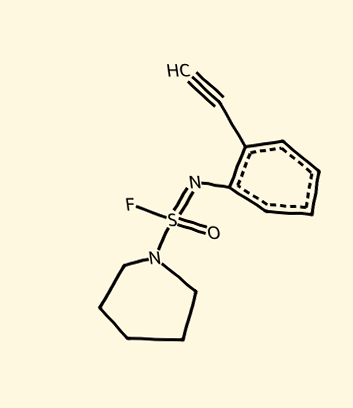 C#Cc1ccccc1N=S(=O)(F)N1CCCCC1